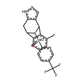 O=S(=O)(c1ccc(C(F)(F)F)cn1)N1C2Cc3[nH]ncc3C1c1c(F)cccc12